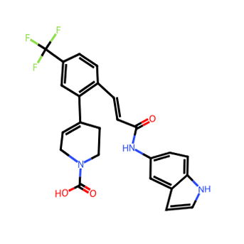 O=C(/C=C/c1ccc(C(F)(F)F)cc1C1=CCN(C(=O)O)CC1)Nc1ccc2[nH]ccc2c1